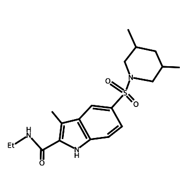 CCNC(=O)c1[nH]c2ccc(S(=O)(=O)N3CC(C)CC(C)C3)cc2c1C